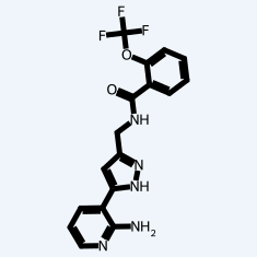 Nc1ncccc1-c1cc(CNC(=O)c2ccccc2OC(F)(F)F)n[nH]1